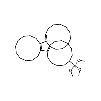 CO[Si](OC)(OC)C1CCCCCC=C(C2=C(C3=CCCCCCCCCCC3)CCCCCCCCCC2)CCCC1